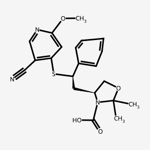 COc1cc(S[C@H](C[C@H]2COC(C)(C)N2C(=O)O)c2ccccc2)c(C#N)cn1